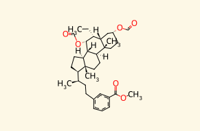 CC[C@H]1[C@@H](OC=O)[C@@H]2[C@H](CC[C@]3(C)[C@@H]([C@H](C)CCc4cccc(C(=O)OC)c4)CC[C@@H]23)[C@@]2(C)CC[C@@H](OC=O)C[C@@H]12